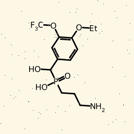 CCOc1ccc(C(O)P(=O)(O)CCCN)cc1OC(F)(F)F